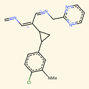 C=N/C=C(\C=N/Cc1ncccn1)C1CC1c1ccc(Cl)c(NC)c1